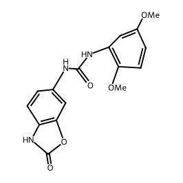 COc1ccc(OC)c(NC(=O)Nc2ccc3[nH]c(=O)oc3c2)c1